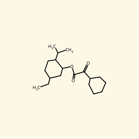 CCC1CCC(C(C)C)C(OC(=O)C(=O)C2CCCCC2)C1